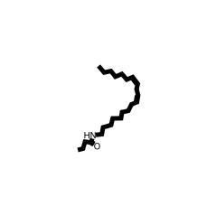 CCCCCC/C=C\C/C=C\CCCCCCCCNC(=O)CCC